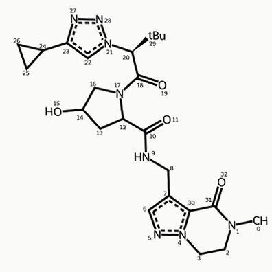 CN1CCn2ncc(CNC(=O)C3CC(O)CN3C(=O)[C@@H](n3cc(C4CC4)nn3)C(C)(C)C)c2C1=O